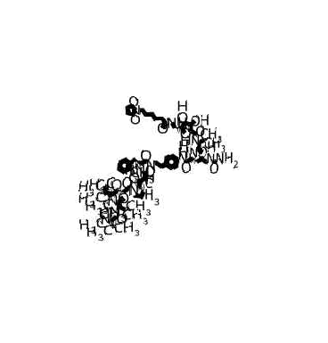 CC[C@H](C)[C@@H]([C@@H](CC(=O)N1CCC[C@H]1[C@H](OC)[C@@H](C)C(=O)N[C@@H](Cc1ccccc1)C(=O)NCCc1ccc(NC(=O)[C@@H](CCCNC(N)=O)NC(=O)C(NC(=O)C2O[C@H](CNC(=O)CCCCCN3C(=O)C=CC3=O)C(O)C2O)C(C)C)cc1)OC)N(C)C(=O)C(NC(=O)[C@H](C(C)C)N(C)C)C(C)C